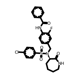 O=C(Nc1ccc(CN([C@@H]2CCCCNC2=O)S(=O)(=O)c2ccc(Cl)cc2)cc1F)c1ccccc1